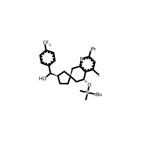 CC(C)c1cc(I)c2c(n1)C[C@]1(CC[C@@H](C(O)c3ccc(C(F)(F)F)cc3)C1)C[C@H]2O[Si](C)(C)C(C)(C)C